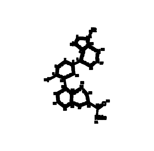 CCn1cnc2c(-c3ccc(F)c(-c4cccc5cc(C(=O)NC)cnc45)c3)cnnc21